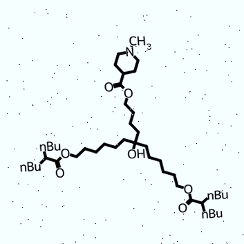 CCCCC(CCCC)C(=O)OCCCCCCC(O)(CCCCCCOC(=O)C(CCCC)CCCC)CCCCOC(=O)C1CCN(C)CC1